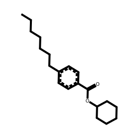 CCCCCCCc1ccc(C(=O)OC2CCCCC2)cc1